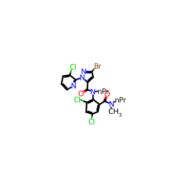 CCCN(C)C(=O)c1cc(Cl)cc(Cl)c1N(CCC)C(=O)c1cc(Br)nn1-c1ncccc1Cl